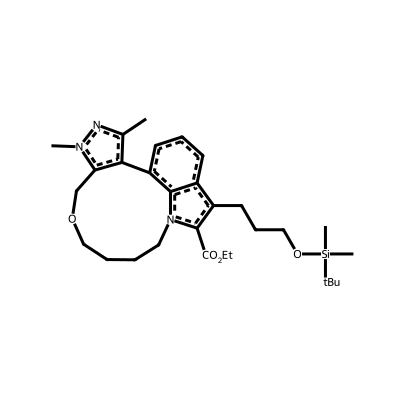 CCOC(=O)c1c(CCCO[Si](C)(C)C(C)(C)C)c2cccc3c2n1CCCCOCc1c-3c(C)nn1C